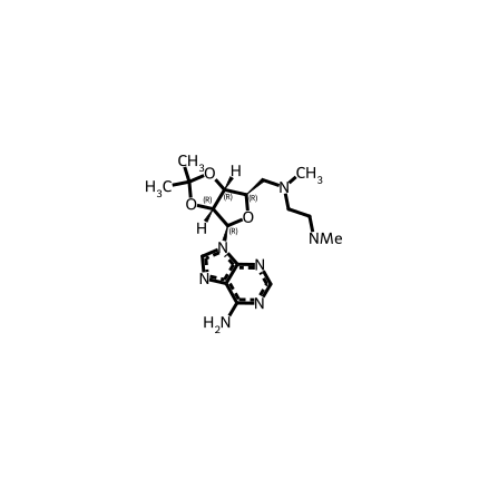 CNCCN(C)C[C@H]1O[C@@H](n2cnc3c(N)ncnc32)[C@@H]2OC(C)(C)O[C@@H]21